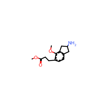 COC(=O)CCc1ccc2c(c1OC)CC(N)C2